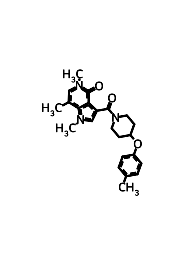 Cc1ccc(OC2CCN(C(=O)c3cn(C)c4c(C)cn(C)c(=O)c34)CC2)cc1